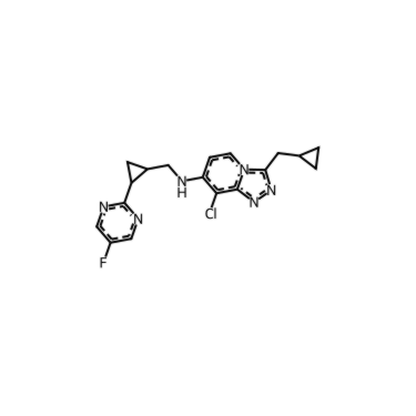 Fc1cnc(C2CC2CNc2ccn3c(CC4CC4)nnc3c2Cl)nc1